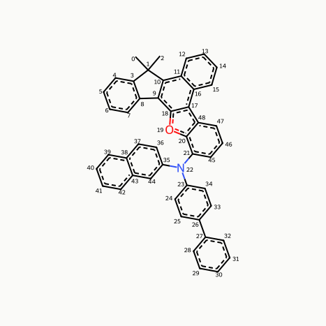 CC1(C)c2ccccc2-c2c1c1ccccc1c1c2oc2c(N(c3ccc(-c4ccccc4)cc3)c3ccc4ccccc4c3)cccc21